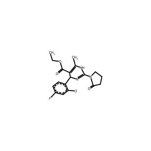 CCOC(=O)C1=C(C)NC(N2CCCC2=O)=NC1c1ccc(F)cc1Cl